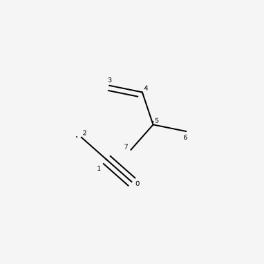 C#C[CH2].C=C[C](C)C